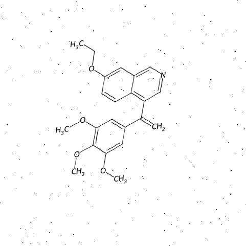 C=C(c1cc(OC)c(OC)c(OC)c1)c1cncc2cc(OCC)ccc12